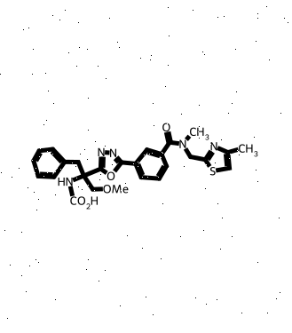 COCC(Cc1ccccc1)(NC(=O)O)c1nnc(-c2cccc(C(=O)N(C)Cc3nc(C)cs3)c2)o1